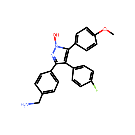 COc1ccc(-c2c(-c3ccc(F)cc3)c(-c3ccc(CN)cc3)nn2O)cc1